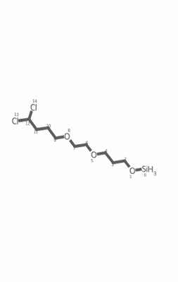 [SiH3]OCCCOCCOCCCC(Cl)Cl